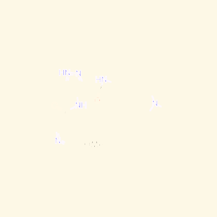 COc1cncc(C(=O)Nc2c[nH]nc2C(=O)Nc2ccc(CN3CCCC3)cc2)c1